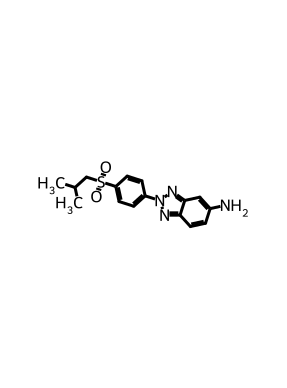 CC(C)CS(=O)(=O)c1ccc(-n2nc3ccc(N)cc3n2)cc1